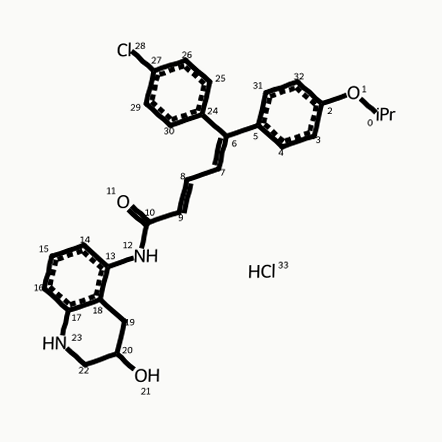 CC(C)Oc1ccc(C(=CC=CC(=O)Nc2cccc3c2CC(O)CN3)c2ccc(Cl)cc2)cc1.Cl